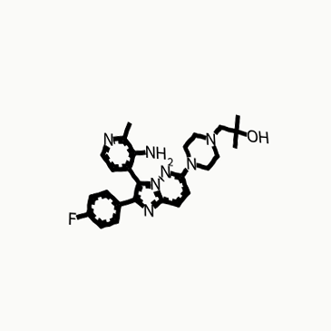 Cc1nccc(-c2c(-c3ccc(F)cc3)nc3ccc(N4CCN(CC(C)(C)O)CC4)nn23)c1N